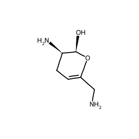 NCC1=CC[C@@H](N)[C@@H](O)O1